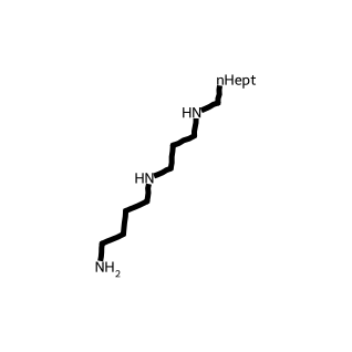 CCCCCCCCNCCCNCCCCN